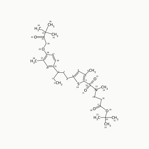 CCC(CCc1cc(C)c(S(=O)(=O)N(C)CCC(=O)OC(C)(C)C)s1)c1ccc(OCC(=O)C(C)(C)C)c(C)c1